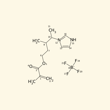 C=C(C)C(=O)OCCC(C)C(C)[n+]1cc[nH]c1.F[B-](F)(F)F